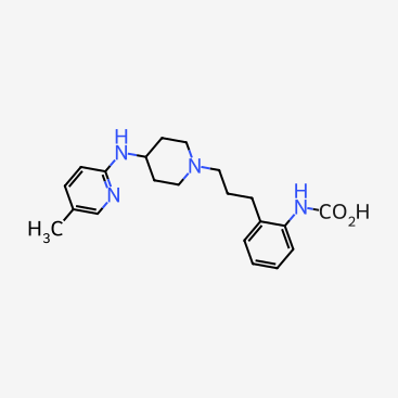 Cc1ccc(NC2CCN(CCCc3ccccc3NC(=O)O)CC2)nc1